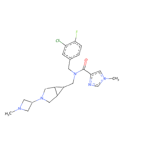 CN1CC(N2CC3C(CN(Cc4ccc(F)c(Cl)c4)C(=O)c4cn(C)cn4)C3C2)C1